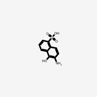 Nc1ccc2c(S(=O)(=O)O)cccc2c1O